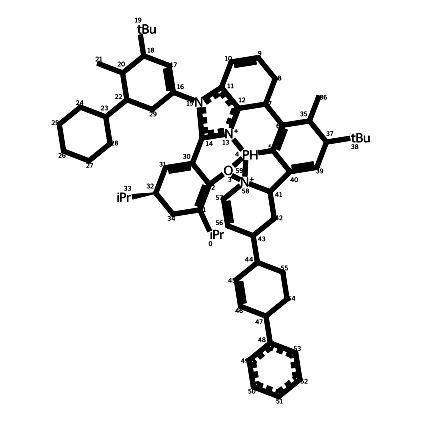 CC(C)C1=C2O[PH]34C5=C(C6CC=Cc7c6[n+]3c(n7C3=CC(C(C)(C)C)C(C)C(C6CCCCC6)C3)C2=C[C@H](C(C)C)C1)C(C)C(C(C)(C)C)C=C5C1CC(C2C=CC(c3ccccc3)CC2)C=C[N+]14C